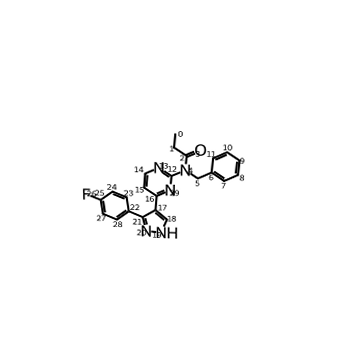 CCC(=O)N(Cc1ccccc1)c1nccc(-c2c[nH]nc2-c2ccc(F)cc2)n1